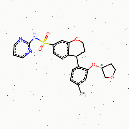 O=S(=O)(Nc1ncccn1)c1ccc2c(c1)OCCC2c1ccc(C(F)(F)F)cc1O[C@@H]1CCOC1